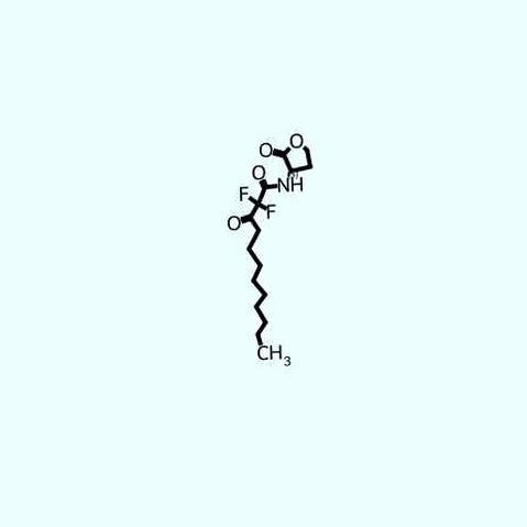 CCCCCCCCCC(=O)C(F)(F)C(=O)N[C@H]1CCOC1=O